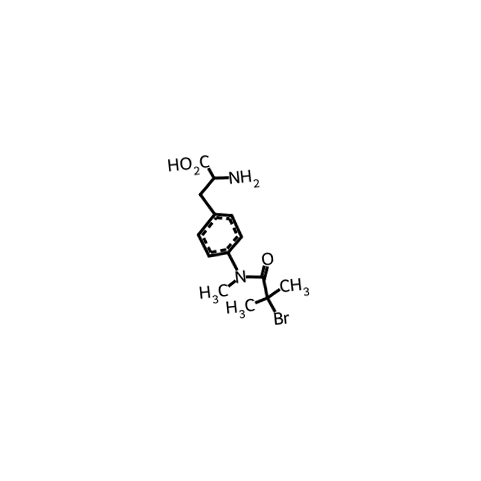 CN(C(=O)C(C)(C)Br)c1ccc(CC(N)C(=O)O)cc1